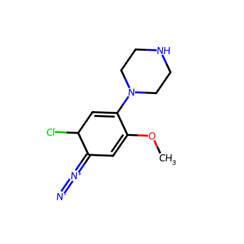 COC1=CC(=[N+]=[N-])C(Cl)C=C1N1CCNCC1